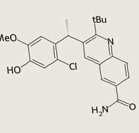 COc1cc([C@H](C)c2cc3cc(C(N)=O)ccc3nc2C(C)(C)C)c(Cl)cc1O